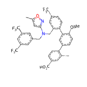 COc1ccc(-c2ccc(C(=O)O)cc2C)cc1-c1ccc(C(F)(F)F)cc1CN(Cc1cc(C(F)(F)F)cc(C(F)(F)F)c1)c1cc(C)on1